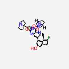 C#Cc1c(F)ccc2cc(O)cc(-c3cnc4c(N5C[C@H]6CC[C@@H](C5)N6C(=O)OC(C)(C)C)nc(OCC56CCCN5CCC6)nc4c3)c12